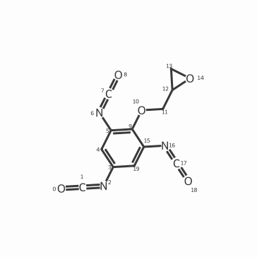 O=C=Nc1cc(N=C=O)c(OCC2CO2)c(N=C=O)c1